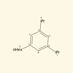 CCCCCCc1cc(C(C)C)[c]c(C(C)C)c1